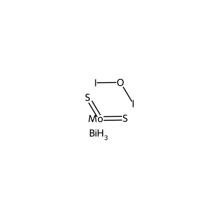 IOI.[BiH3].[S]=[Mo]=[S]